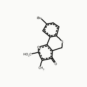 CCC(C)c1ccc2c(c1)-c1oc(C(=O)O)c(C)c(=O)c1CS2